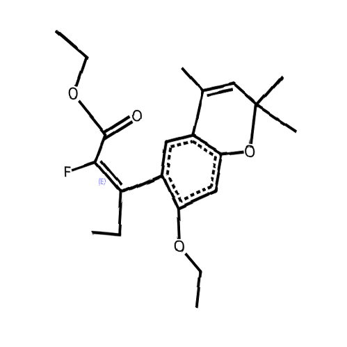 CCOC(=O)/C(F)=C(/CC)c1cc2c(cc1OCC)OC(C)(C)C=C2C